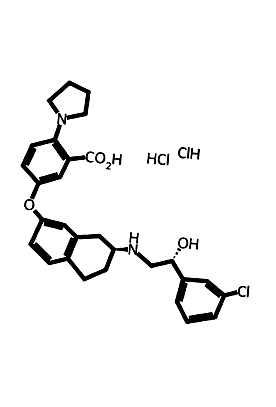 Cl.Cl.O=C(O)c1cc(Oc2ccc3c(c2)C[C@@H](NC[C@H](O)c2cccc(Cl)c2)CC3)ccc1N1CCCC1